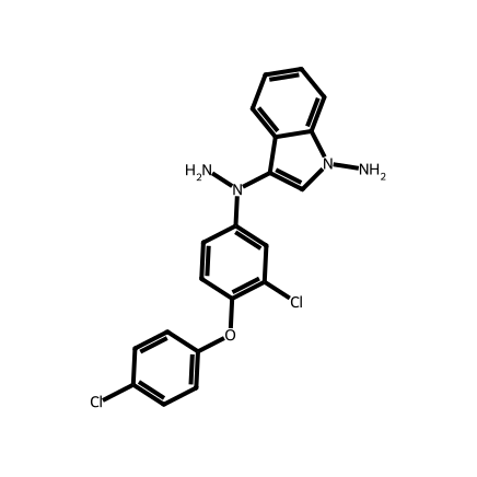 NN(c1ccc(Oc2ccc(Cl)cc2)c(Cl)c1)c1cn(N)c2ccccc12